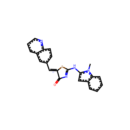 Cn1c(NC2=NC(=O)/C(=C/c3ccc4ncccc4c3)S2)cc2ccccc21